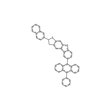 c1ccc(-c2c3ccccc3c(-c3ccc4sc5cc6c(cc5c4c3)CC(c3ccc4ccccc4c3)S6)c3ccccc23)cc1